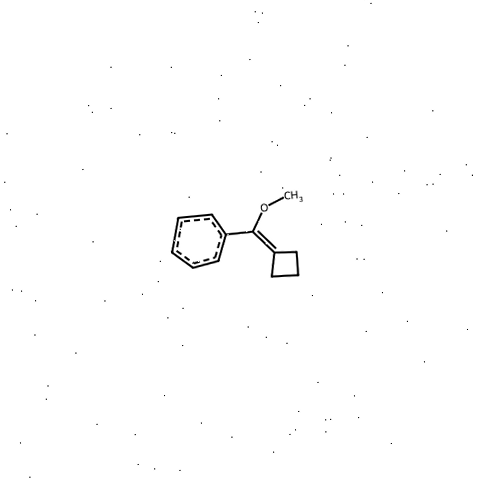 COC(=C1CCC1)c1ccccc1